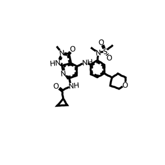 CN(c1cc(C2CCOCC2)ccc1Nc1cc(NC(=O)C2CC2)nc2[nH]n(C)c(=O)c12)S(C)(=O)=O